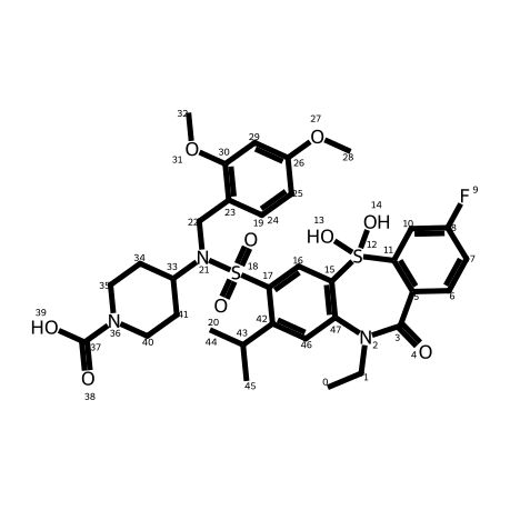 CCN1C(=O)c2ccc(F)cc2S(O)(O)c2cc(S(=O)(=O)N(Cc3ccc(OC)cc3OC)C3CCN(C(=O)O)CC3)c(C(C)C)cc21